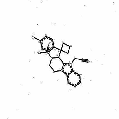 N#CCn1c2c(c3ccccc31)CCN(C(=O)O)C2C1(c2ccc(Cl)cc2)CCC1